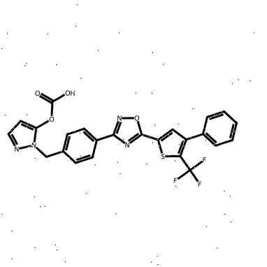 O=C(O)Oc1ccnn1Cc1ccc(-c2noc(-c3cc(-c4ccccc4)c(C(F)(F)F)s3)n2)cc1